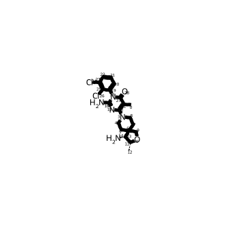 Cc1c(N2CCC3(CC2)CO[C@H](C)[C@@H]3N)nc(N)n(-c2cccc(Cl)c2Cl)c1=O